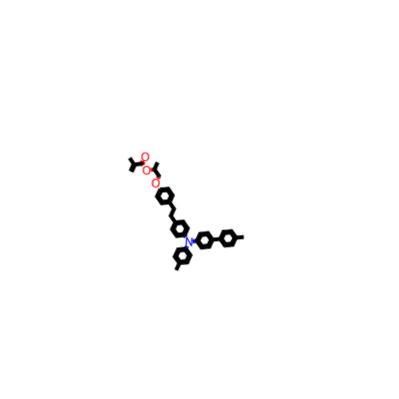 C=C(C)C(=O)OC(C)COc1ccc(CCc2ccc(N(c3ccc(C)cc3)c3ccc(-c4ccc(C)cc4)cc3)cc2)cc1